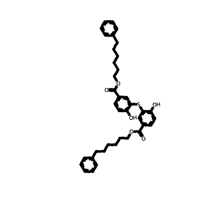 O=C(OCCCCCCc1ccccc1)c1ccc(O)c(Sc2cc(C(=O)OCCCCCCc3ccccc3)ccc2O)c1